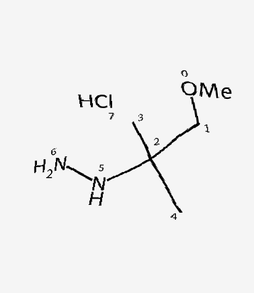 COCC(C)(C)NN.Cl